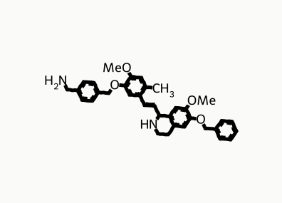 COc1cc(C)c(/C=C/C2NCCc3cc(OCc4ccccc4)c(OC)cc32)cc1OCc1ccc(CN)cc1